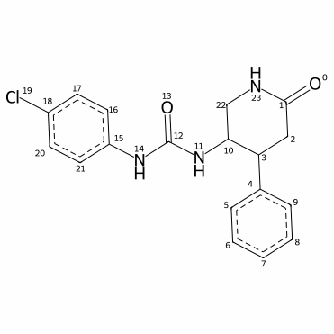 O=C1CC(c2ccccc2)C(NC(=O)Nc2ccc(Cl)cc2)CN1